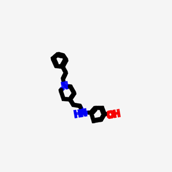 Oc1ccc(NCCC2CCN(CCc3ccccc3)CC2)cc1